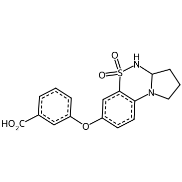 O=C(O)c1cccc(Oc2ccc3c(c2)S(=O)(=O)NC2CCCN32)c1